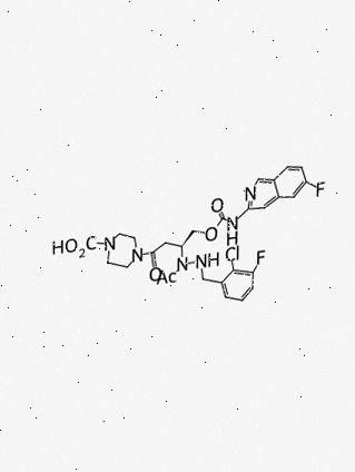 CC(=O)N(NCc1cccc(F)c1Cl)[C@H](COC(=O)Nc1cc2cc(F)ccc2cn1)CC(=O)N1CCN(C(=O)O)CC1